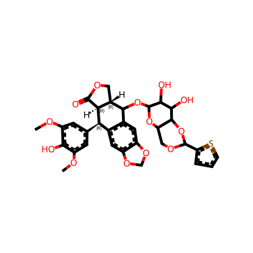 COc1cc([C@@H]2c3cc4c(cc3C(OC3OC5COC(c6cccs6)OC5C(O)C3O)[C@H]3COC(=O)[C@H]23)OCO4)cc(OC)c1O